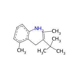 CC=C(Cc1c(C)cccc1N)C(C)(C)C